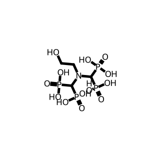 O=P(O)(O)C(N(CCO)C(P(=O)(O)O)P(=O)(O)O)P(=O)(O)O